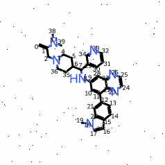 C=C(CN1CCC(C(Nc2cc(-c3ccc4ccn(C)c4c3)c3nccnc3c2)c2cccnc2)CC1)N(C)C